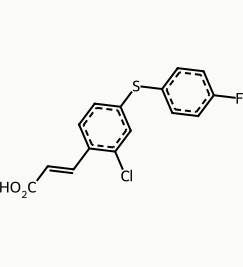 O=C(O)C=Cc1ccc(Sc2ccc(F)cc2)cc1Cl